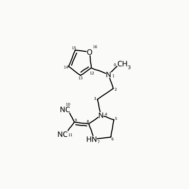 CN(CCN1CCNC1=C(C#N)C#N)c1ccco1